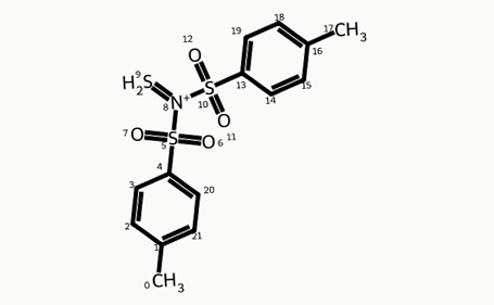 Cc1ccc(S(=O)(=O)[N+](=[SH2])S(=O)(=O)c2ccc(C)cc2)cc1